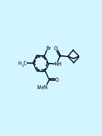 CNC(=O)c1cc(C)cc(Br)c1NC(=O)C12CC(C1)C2